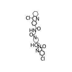 O=C(NCC(=O)N1CCC(O)(Cn2cnc3cc(Cl)ccc3c2=O)CC1)c1ccc2c(Cl)c3c(nc2c1)CCCC3